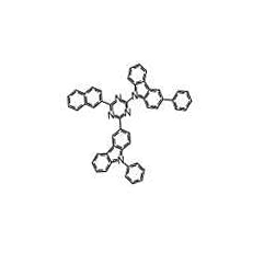 c1ccc(-c2ccc3c(c2)c2ccccc2n3-c2nc(-c3ccc4ccccc4c3)nc(-c3ccc4c(c3)c3ccccc3n4-c3ccccc3)n2)cc1